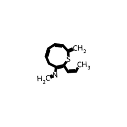 C=N/C1=C(\C=C/C)SC(=C)/C=C\C=C/C1